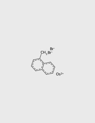 Cc1cccc2ccccc12.[Br-].[Br-].[Os+2]